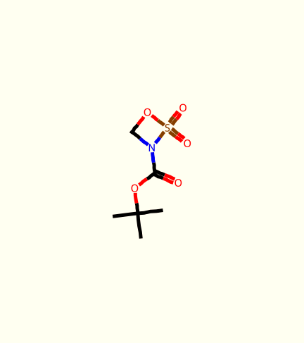 CC(C)(C)OC(=O)N1COS1(=O)=O